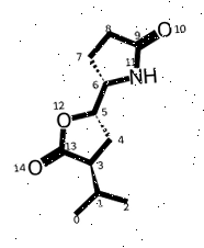 CC(C)[C@@H]1C[C@@H]([C@@H]2CCC(=O)N2)OC1=O